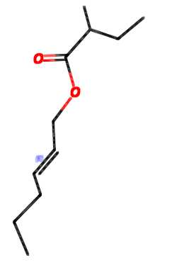 CCC/C=C/COC(=O)C(C)CC